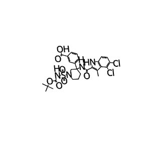 Cc1c(C(=O)NC2(c3cccc(C(=O)O)c3)CCCN(S(=O)(=O)NC(=O)OC(C)(C)C)C2)[nH]c2ccc(Cl)c(Cl)c12